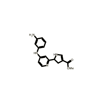 COC(=O)C1=CNC(c2cc(Nc3cccc(N)c3)ccn2)C1